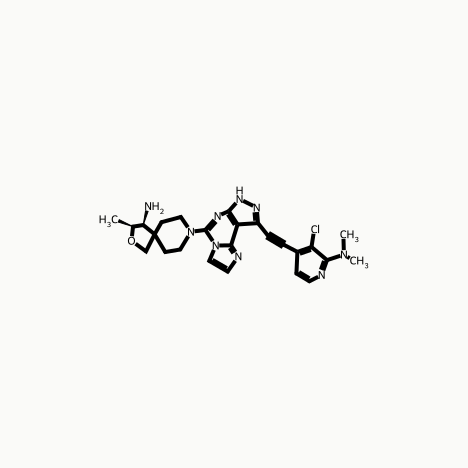 C[C@@H]1OCC2(CCN(c3nc4[nH]nc(C#Cc5ccnc(N(C)C)c5Cl)c4c4nccn34)CC2)[C@@H]1N